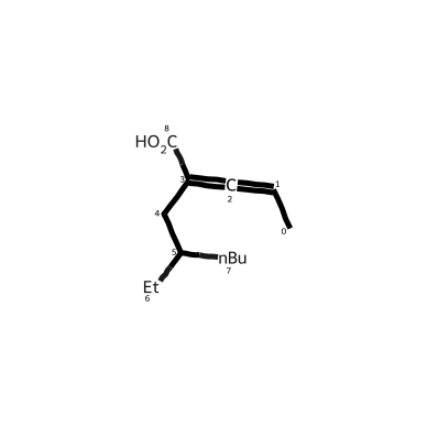 CC=C=C(CC(CC)CCCC)C(=O)O